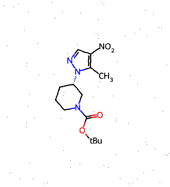 Cc1c([N+](=O)[O-])cnn1[C@H]1CCCN(C(=O)OC(C)(C)C)C1